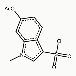 CC(=O)Oc1ccc2c(S(=O)(=O)Cl)cn(C)c2c1